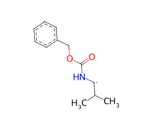 CC(C)[CH]NC(=O)OCc1ccccc1